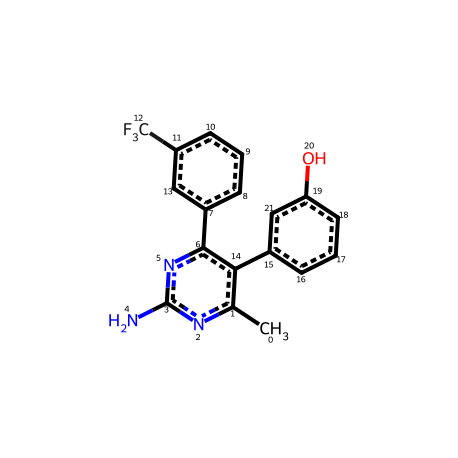 Cc1nc(N)nc(-c2cccc(C(F)(F)F)c2)c1-c1cccc(O)c1